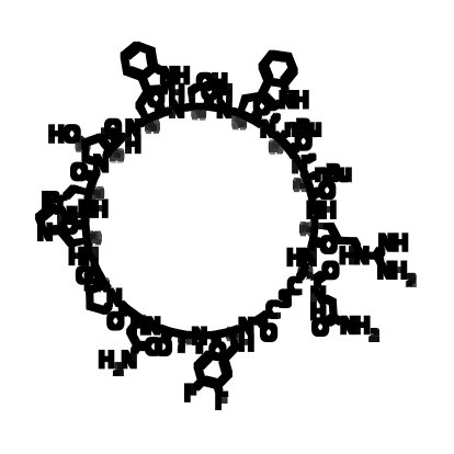 CCCC[C@H]1C(=O)N(C)[C@@H](CCCC)C(=O)N[C@@H](CCCNC(=N)N)C(=O)N[C@H](C(=O)NCC(N)=O)CSCC(=O)N[C@@H](Cc2ccc(F)c(F)c2)C(=O)N(C)[C@@H](C)C(=O)N[C@@H](CC(N)=O)C(=O)N2CCC[C@H]2C(=O)N[C@@H](Cc2ncc[nH]2)C(=O)N[C@@H](CC(C)C)C(=O)N2C[C@H](O)C[C@H]2C(=O)N[C@@H](Cc2c[nH]c3ccccc23)C(=O)N[C@@H](CO)C(=O)N[C@@H](Cc2c[nH]c3ccccc23)C(=O)N1C